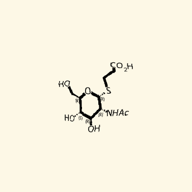 CC(=O)N[C@@H]1[C@@H](O)[C@H](O)[C@@H](CO)O[C@@H]1SCCC(=O)O